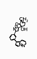 CN1CCC(O)(c2cc(-c3cccc(-c4ccn5ncccc45)c3)no2)C1=O